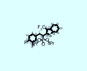 CC(C)OP(=O)(OC(C)C)C(Cc1ccc(F)c(F)c1)c1sc2ccccc2c1C(F)(F)F